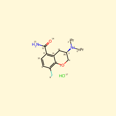 CCCN(C(C)C)[C@H]1COc2c(F)ccc(C(N)=O)c2C1.Cl